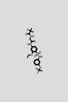 CCOc1cc(NC(=O)CNC(=O)C(C)(F)F)ccc1S(=O)(=O)Nc1cccc(OC(F)(F)F)c1